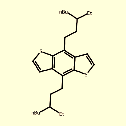 CCCCC(CC)CCc1c2ccsc2c(CCC(CC)CCCC)c2ccsc12